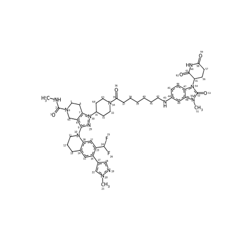 CNC(=O)N1CCc2c(c(N3CCCc4cc(-c5cnn(C)c5)c(C(F)F)cc43)nn2C2CCN(C(=O)CCCCCCNc3ccc4c(c3)n(C)c(=O)n4C3CCC(=O)NC3=O)CC2)C1